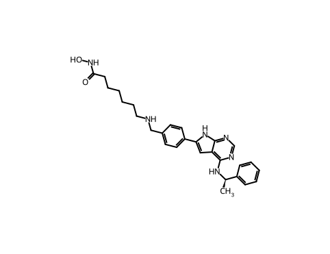 C[C@@H](Nc1ncnc2[nH]c(-c3ccc(CNCCCCCCC(=O)NO)cc3)cc12)c1ccccc1